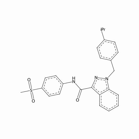 CC(C)c1ccc(Cn2nc(C(=O)Nc3ccc(S(C)(=O)=O)cc3)c3ccccc32)cc1